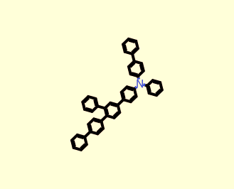 c1ccc(-c2ccc(-c3ccc(-c4ccc(N(c5ccccc5)c5ccc(-c6ccccc6)cc5)cc4)cc3-c3ccccc3)cc2)cc1